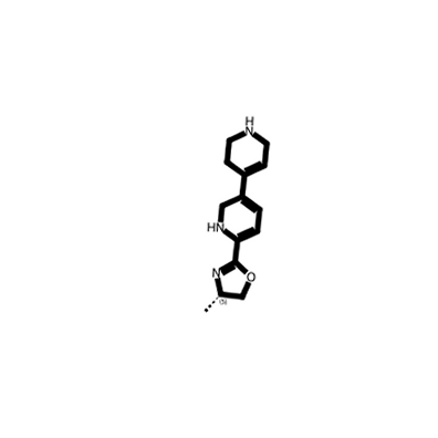 C[C@H]1COC(C2=CC=C(C3=CCNCC3)CN2)=N1